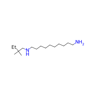 CCC(C)(C)CNCCCCCCCCCCN